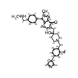 CNCc1ccc(-c2c3ncn(CC4(O)CCN(Cc5ccc(-c6cnco6)cc5F)CC4)c(=O)c3nn2C)cc1